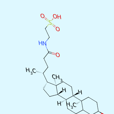 C[C@H](CCC(=O)NCCS(=O)(=O)O)[C@H]1CC[C@H]2[C@@H]3CCC4C[C@H](O)CC[C@]4(C)[C@H]3CC[C@]12C